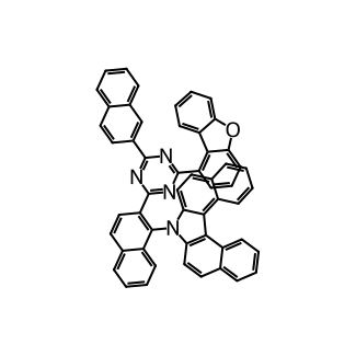 c1ccc2cc(-c3nc(-c4ccc5ccccc5c4-n4c5ccc6ccccc6c5c5c6ccccc6ccc54)nc(-c4cccc5oc6ccccc6c45)n3)ccc2c1